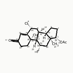 CC(=O)O[C@H]1CC[C@H]2[C@@H]3C[C@@H](Cl)C4=CC(=O)CC[C@]4(C)[C@H]3[C@@H](F)C[C@]12C